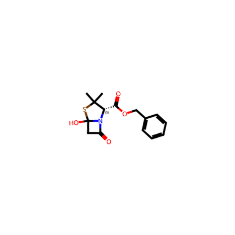 CC1(C)SC2(O)CC(=O)N2[C@H]1C(=O)OCc1ccccc1